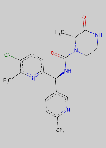 C[C@@H]1C(=O)NCCN1C(=O)N[C@@H](c1ccc(C(F)(F)F)nc1)c1ccc(Cl)c(C(F)(F)F)n1